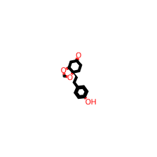 O=C1CC[C@]2(CCc3ccc(O)cc3)OCOC2C1